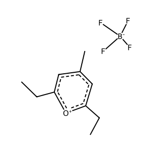 CCc1cc(C)cc(CC)[o+]1.F[B-](F)(F)F